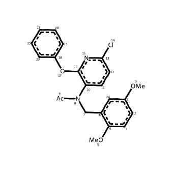 COc1ccc(OC)c(CN(C(C)=O)c2ccc(Cl)nc2Oc2ccccc2)c1